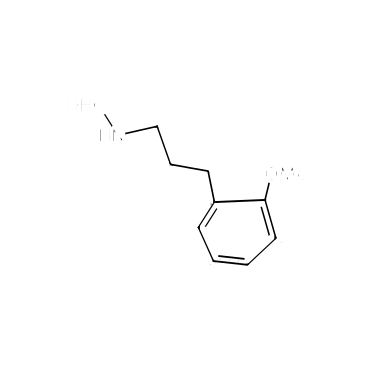 COc1ccccc1CCCNC=O